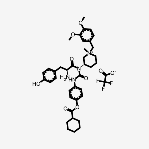 COc1ccc(C[N+]2(C)CCC[C@H](N(C(=O)Nc3ccc(OC(=O)C4CCCCC4)cc3)C(=O)[C@@H](N)Cc3ccc(O)cc3)C2)cc1OC.O=C([O-])C(F)(F)F